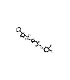 O=C(COc1ccc(Cl)c(F)c1)NC12CC(NC(=O)c3cnc(N4CCCC4)s3)(C1)C2